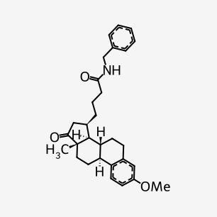 COc1ccc2c(c1)CC[C@H]1[C@@H]3[C@H](CCCC(=O)NCc4ccccc4)CC(=O)[C@@]3(C)CC[C@H]21